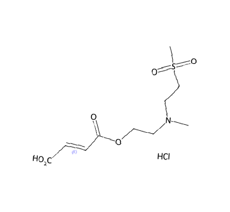 CN(CCOC(=O)/C=C/C(=O)O)CCS(C)(=O)=O.Cl